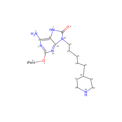 CCCC(C)Oc1nc(N)c2[nH]c(=O)n(CCCCCC3CCNCC3)c2n1